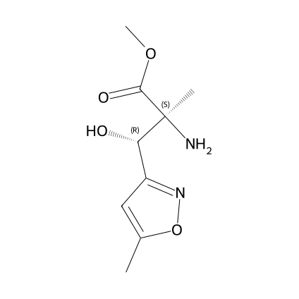 COC(=O)[C@@](C)(N)[C@@H](O)c1cc(C)on1